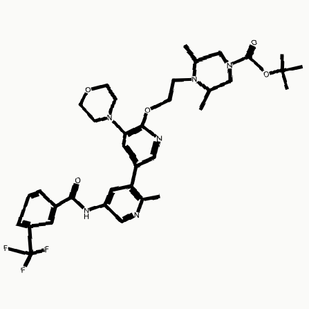 Cc1ncc(NC(=O)c2cccc(C(F)(F)F)c2)cc1-c1cnc(OCCN2C(C)CN(C(=O)OC(C)(C)C)CC2C)c(N2CCOCC2)c1